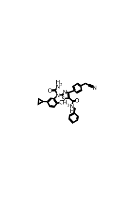 Cc1ccc(C2CC2)cc1N(C(N)=O)c1nc(-c2ccc(CC#N)cc2)c(C(=O)NCc2ccccc2)s1